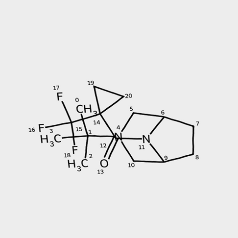 CC(C)(C)N1CC2CCC(C1)N2C(=O)C1(C(F)(F)F)CC1